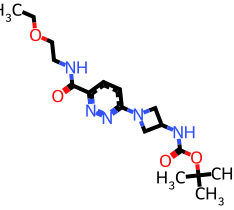 CCOCCNC(=O)c1ccc(N2CC(NC(=O)OC(C)(C)C)C2)nn1